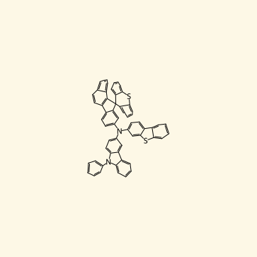 c1ccc(-n2c3ccccc3c3cc(N(c4ccc5c(c4)C4(c6ccccc6Sc6ccccc64)c4c-5ccc5ccccc45)c4ccc5c(c4)sc4ccccc45)ccc32)cc1